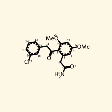 COc1cc(CC(N)=O)c(C(=O)Cc2cccc(Cl)c2)c(OC)c1